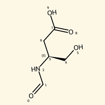 O=CN[C@H](CO)CC(=O)O